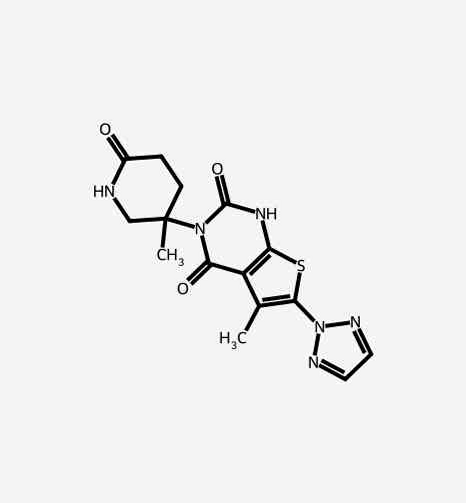 Cc1c(-n2nccn2)sc2[nH]c(=O)n(C3(C)CCC(=O)NC3)c(=O)c12